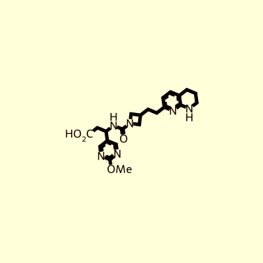 COc1ncc(C(CC(=O)O)NC(=O)N2CC(CCc3ccc4c(n3)NCCC4)C2)cn1